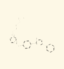 CCCCCCCCCCCCCC[n+]1ccn(Cc2ccc(-c3ncc(-c4ccccc4)o3)cc2)c1